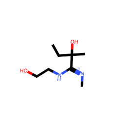 CCC(C)(O)/C(=N/C)NCCO